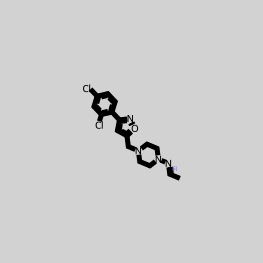 C/C=N/N1CCN(Cc2cc(-c3ccc(Cl)cc3Cl)no2)CC1